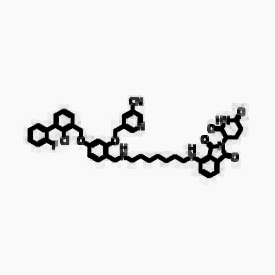 N#Cc1cncc(COc2cc(OCc3cccc(-c4ccccc4F)c3Cl)ccc2CNCCCCCCCNc2cccc3c2C(=O)N(C2CCC(=O)NC2=O)C3=O)c1